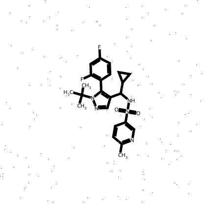 Cc1ccc(S(=O)(=O)NC(c2cnn(C(C)(C)C)c2-c2ccc(F)cc2F)C2CC2)cn1